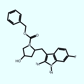 [2H]c1c(CC2CC(O)CN2C(=O)OCc2ccccc2)c2ccc(F)cc2n1[2H]